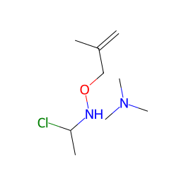 C=C(C)CONC(C)Cl.CN(C)C